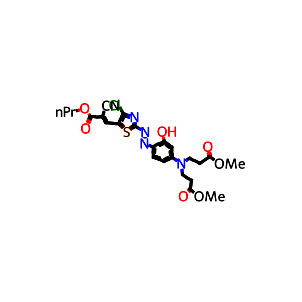 CCCOC(=O)/C(C#N)=C/c1sc(/N=N/c2ccc(N(CCC(=O)OC)CCC(=O)OC)cc2O)nc1Cl